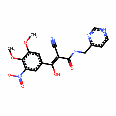 COc1cc(/C(O)=C(\C#N)C(=O)NCc2ccncn2)cc([N+](=O)[O-])c1OC